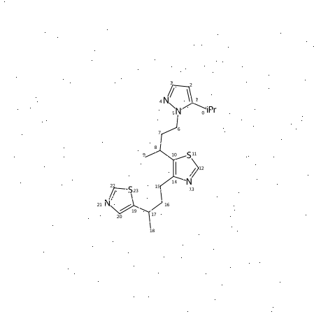 CC(C)c1ccnn1CCC(C)c1scnc1CCC(C)c1cncs1